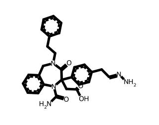 NN=CCc1ccc(C2(CC(=O)O)C(=O)N(CCc3ccccc3)Cc3ccccc3N2C(N)=O)cc1